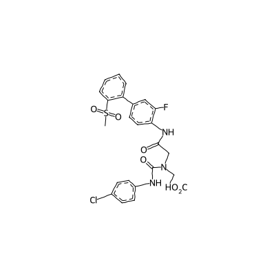 CS(=O)(=O)c1ccccc1-c1ccc(NC(=O)CN(CC(=O)O)C(=O)Nc2ccc(Cl)cc2)c(F)c1